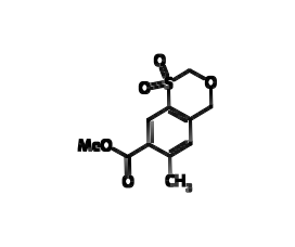 COC(=O)c1cc2c(cc1C)COCS2(=O)=O